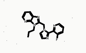 CCCn1c(Cn2ccnc2-c2ncccc2F)nc2cccnc21